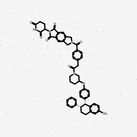 O=C1CCC(N2C(=O)c3cc4c(cc3C2=O)CN(C(=O)c2ccc(CC(=O)N3CCCC(Oc5ccc([C@@H]6c7ccc(O)cc7CC[C@@H]6c6ccccc6)cc5)C3)cc2)C4)C(=O)N1